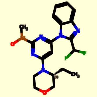 CC[C@@H]1COCCN1c1cc(-n2c(C(F)F)nc3ccccc32)nc([S+](C)[O-])n1